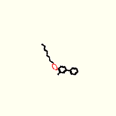 CCCCCCCCOc1ccc(-c2ccccc2)cc1C